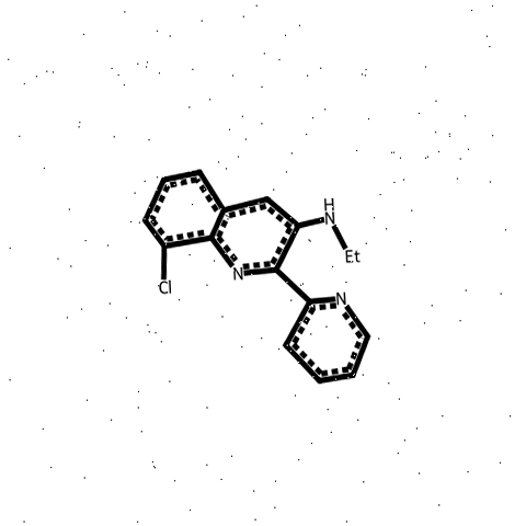 CCNc1cc2cccc(Cl)c2nc1-c1ccccn1